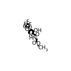 CCOC(=O)CNC(=O)c1ncc(OS(=O)(=O)C(F)(F)F)cc1O